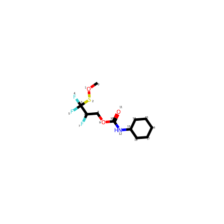 COSC(F)(F)C(F)COC(=O)NC1CCCCC1